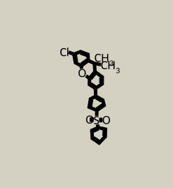 CC1(C)c2ccc(Cl)cc2Oc2cc(-c3ccc(S(=O)(=O)c4ccccc4)cc3)ccc21